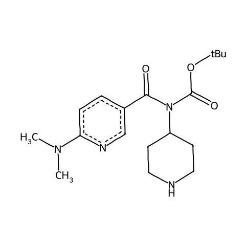 CN(C)c1ccc(C(=O)N(C(=O)OC(C)(C)C)C2CCNCC2)cn1